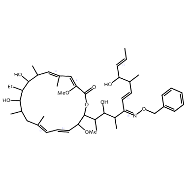 C/C=C/C(O)C(C)/C=C/C(=N\OCc1ccccc1)C(C)C(O)C(C)C1OC(=O)/C(OC)=C/C(C)=C/C(C)C(O)C(CC)C(O)C(C)C/C(C)=C/C=C/C1OC